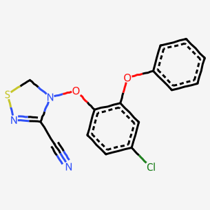 N#CC1=NSCN1Oc1ccc(Cl)cc1Oc1ccccc1